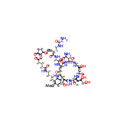 CC[C@H](C)[C@H](CCNC(=O)CN)C(=O)NCC(=O)N[C@@H]1C[S+]([O-])c2[nH]c3c(CSCCNC(=O)CCCC(=O)ON4C(=O)CCC4=O)c(OC)ccc3c2[C@H](CO)CNC(=O)[C@H]([C@@H](C)[C@@H](O)CO)NC(=O)C[C@@H](O)CNC(=O)[C@H](CC(N)=O)NC1=O